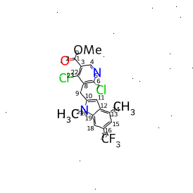 COC(=O)c1cnc(Cl)c(Cc2cc3c(C)cc(C(F)(F)F)cc3n2C)c1Cl